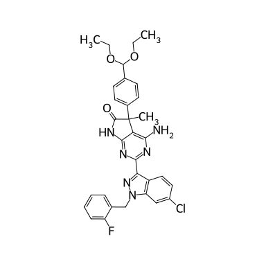 CCOC(OCC)c1ccc(C2(C)C(=O)Nc3nc(-c4nn(Cc5ccccc5F)c5cc(Cl)ccc45)nc(N)c32)cc1